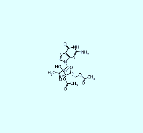 CC(=O)OC[C@H]1O[C@@H](n2cnc3c(=O)[nH]c(N)nc32)[C@@](O)(C(C)=O)[C@@H]1OC(C)=O